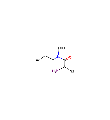 CCC(P)C(=O)N(C=O)CCC(C)=O